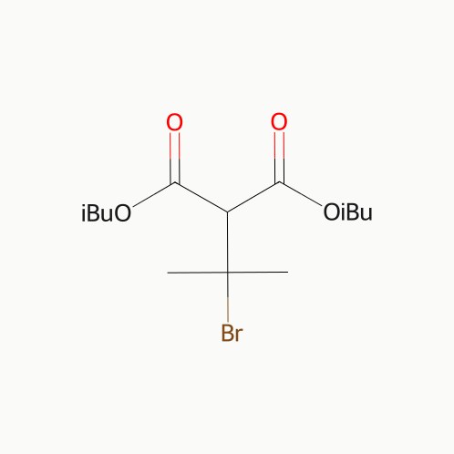 CC(C)COC(=O)C(C(=O)OCC(C)C)C(C)(C)Br